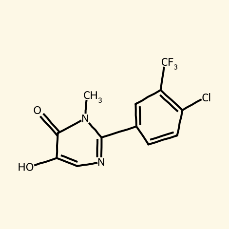 Cn1c(-c2ccc(Cl)c(C(F)(F)F)c2)ncc(O)c1=O